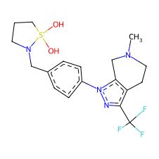 CN1CCc2c(C(F)(F)F)nn(-c3ccc(CN4CCCS4(O)O)cc3)c2C1